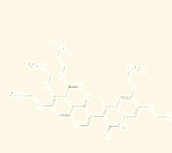 COCOc1cc2[nH]c(=O)c(-c3coc4cc(OCOC)c(OCOC)c(C(=O)OCC[Si](C)(C)C)c4c3=O)c(C)c2cc1OCOC